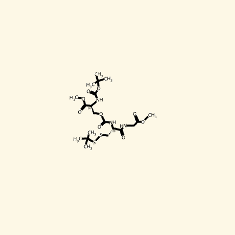 COC(=O)CNC(=O)[C@H](CSSC(C)(C)C)NC(=O)OC[C@H](NC(=O)OC(C)(C)C)C(=O)OC